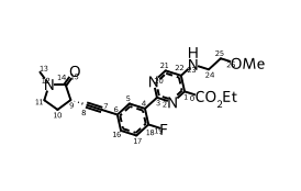 CCOC(=O)c1nc(-c2cc(C#C[C@@H]3CCN(C)C3=O)ccc2F)ncc1NCCOC